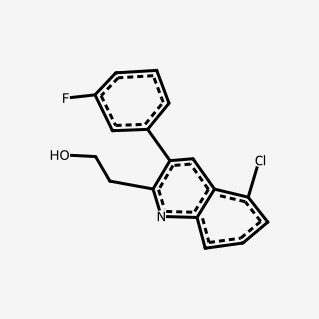 OCCc1nc2cccc(Cl)c2cc1-c1cccc(F)c1